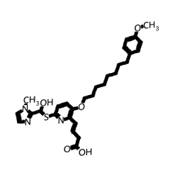 COc1ccc(CCCCCCCCOc2ccc(SC(O)c3nccn3C)nc2C=CCC(=O)O)cc1